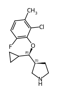 Cc1ccc(F)c(O[C@H](C2CC2)[C@H]2CCNC2)c1Cl